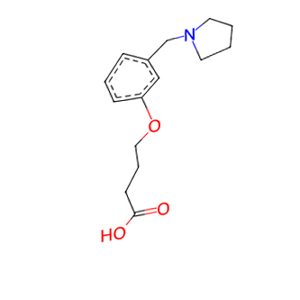 O=C(O)CCCOc1cccc(CN2CCCC2)c1